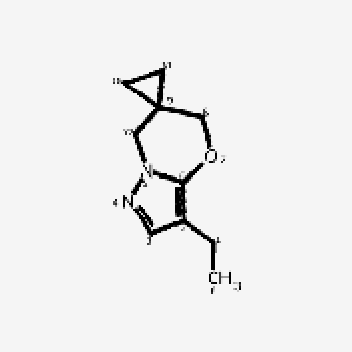 CCc1cnn2c1OCC1(CC1)C2